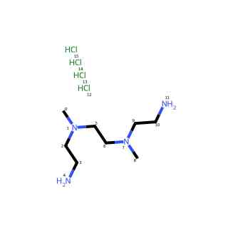 CN(CCN)CCN(C)CCN.Cl.Cl.Cl.Cl